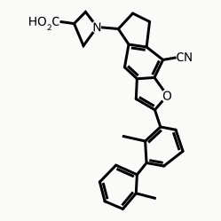 Cc1ccccc1-c1cccc(-c2cc3cc4c(c(C#N)c3o2)CCC4N2CC(C(=O)O)C2)c1C